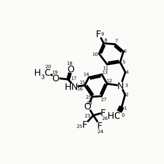 C#CCN(Cc1ccc(F)cc1)c1ccc(NC(=O)OC)c(OC(F)(F)F)c1